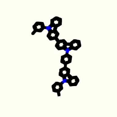 Cc1cccc(-n2c3ccccc3c3cc(-c4ccc(-n5c6ccccc6c6cc(-c7ccc8c(c7)c7ccccc7n8-c7cccc(C)c7)ccc65)cc4)ccc32)c1